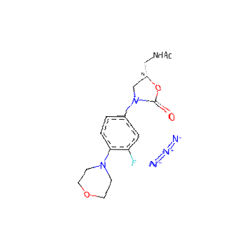 CC(=O)NC[C@H]1CN(c2ccc(N3CCOCC3)c(F)c2)C(=O)O1.[N-]=[N+]=[N-]